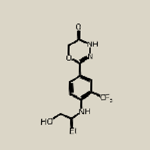 CCC(CO)Nc1ccc(C2=NNC(=O)CO2)cc1C(F)(F)F